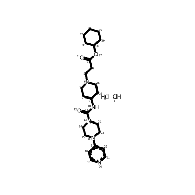 Cl.Cl.O=C(CCN1CCC(NC(=O)N2CCN(c3ccncc3)CC2)CC1)OC1CCCCC1